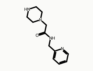 O=C(CN1CCNCC1)NCc1ccccn1